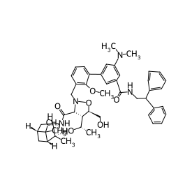 COc1c(CN2O[C@@H](CO)[C@H]([C@H](C)O)C2C(=O)N[C@H]2C[C@H]3C[C@@H]([C@@H]2C)C3(C)C)cccc1-c1cc(C(=O)NCC(c2ccccc2)c2ccccc2)cc(N(C)C)c1